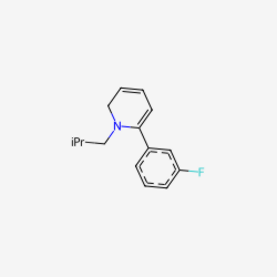 CC(C)CN1CC=CC=C1c1cccc(F)c1